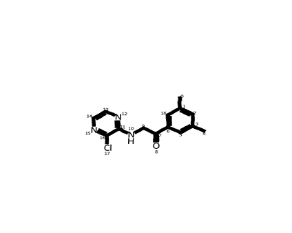 Cc1cc(C)cc(C(=O)CNc2nccnc2Cl)c1